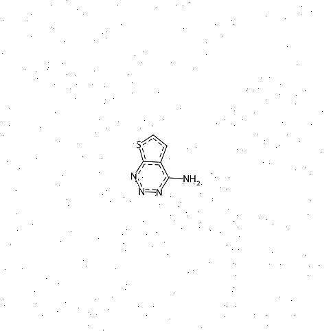 Nc1nnnc2sccc12